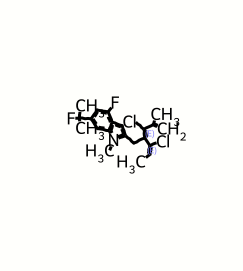 C=C(C)/C(Cl)=C(Cc1cc2c(F)cc(C(C)(C)F)cc2n1C)\C(Cl)=C/C